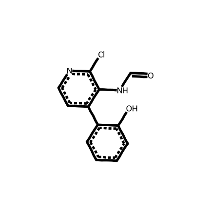 O=CNc1c(-c2ccccc2O)ccnc1Cl